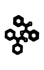 O=C(c1ccccc1)C(OC(=O)N(C1CCCCC1)C1CCCCC1)c1ccccc1